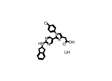 O=C(O)Cc1cn(-c2ccc(Cl)cc2)c(-c2cnc(NC3Cc4ccccc4C3)nc2)n1.[LiH]